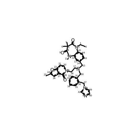 CCN1C(=O)C(C)(C)C(=O)N(C)c2cc(CN(CCn3ccc4oc(C)cc4c3=O)Cc3ccccc3Cn3ccnc3)ccc21